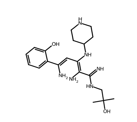 CC(C)(O)CNC(=N)/C(N)=C(/C=C(\N)c1ccccc1O)NC1CCNCC1